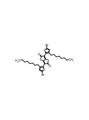 CCCCCCCCc1cc(Br)sc1C1=C2SC(=O)C(c3sc(Br)cc3CCCCCCCC)=C2SC1=O